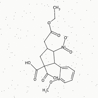 CCOC(=O)CC1CC(C(C)=O)(C(=O)O)C(c2ccccc2OC)C1[N+](=O)[O-]